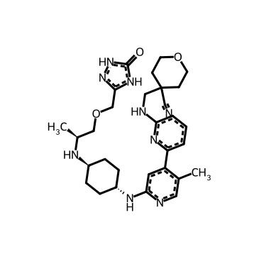 Cc1cnc(N[C@H]2CC[C@H](N[C@@H](C)COCc3n[nH]c(=O)[nH]3)CC2)cc1-c1cccc(NCC2(C#N)CCOCC2)n1